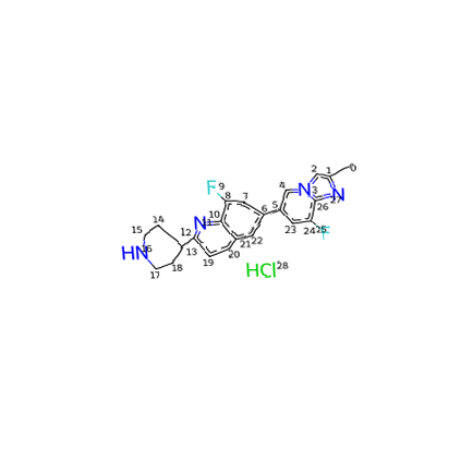 Cc1cn2cc(-c3cc(F)c4nc(C5CCNCC5)ccc4c3)cc(F)c2n1.Cl